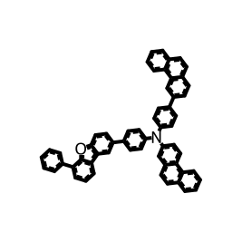 c1ccc(-c2cccc3c2oc2ccc(-c4ccc(N(c5ccc(-c6ccc7ccc8ccccc8c7c6)cc5)c5ccc6c(ccc7ccccc76)c5)cc4)cc23)cc1